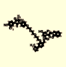 Cc1ncsc1-c1ccc(CNC(=O)[C@@H]2C[C@@H](O)CN2C(=O)C(C(C)C)N2Cc3ccccc3C2=O)c(OCCCOCCOCCOc2ccc(N3C(=S)N(c4ccc(C#N)c(C(F)(F)F)c4)C(=O)C3(C)C)cc2)c1